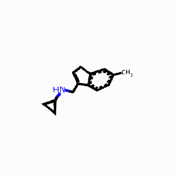 Cc1ccc2c(c1)CC=C2CNC1CC1